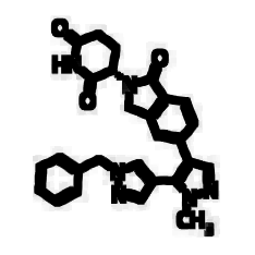 Cn1ncc(-c2ccc3c(c2)CN([C@H]2CCC(=O)NC2=O)C3=O)c1-c1cnn(Cc2ccccc2)c1